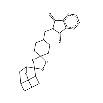 O=C1c2ccccc2C(=O)N1CC1CCC2(CC1)OOC1(O2)C2CC3CC4CC1C34C2